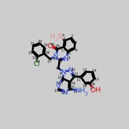 Bc1cccc2nc(Cn3nc(-c4cccc(O)c4)c4c(N)ncnc43)n(Cc3ccccc3Cl)c(=O)c12